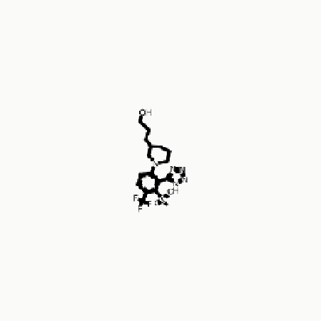 CS(=O)(=O)c1c(C(F)(F)F)ccc(N2CCCC(CCCO)C2)c1-c1nnn[nH]1